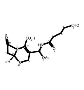 CC(=O)OC(NC(=O)CCCC=O)C1=C(C(=O)O)N2C(=O)C[C@H]2SC1